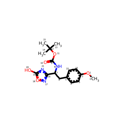 COc1ccc(CC(NC(=O)OC(C)(C)C)c2noc(O)n2)cc1